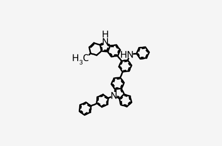 CC1C=Cc2[nH]c3ccc(-c4cc(-c5ccc6c(c5)c5ccccc5n6-c5ccc(-c6ccccc6)cc5)ccc4Nc4ccccc4)cc3c2C1